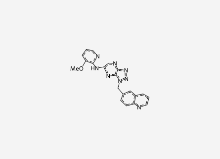 COc1cccnc1Nc1cnc2nnn(Cc3ccc4ncccc4c3)c2n1